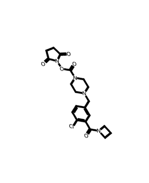 O=C(ON1C(=O)CCC1=O)N1CCN(Cc2ccc(Cl)c(C(=O)N3CCC3)c2)CC1